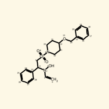 C=CN(O)C(CS(=O)(=O)N1CCC(OCc2ccccc2)CC1)c1ccccc1